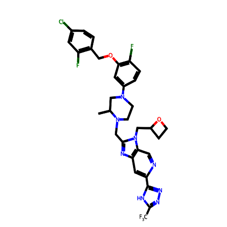 CC1CN(c2ccc(F)c(OCc3ccc(Cl)cc3F)c2)CCN1Cc1nc2cc(-c3nnc(C(F)(F)F)[nH]3)ncc2n1CC1CCO1